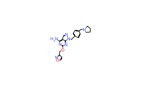 Nc1nc(OCc2ccon2)nc2c1cnn2Cc1ccc(CN2CCCC2)cc1